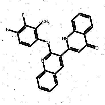 Cc1c(Oc2nc3ccccc3cc2-c2cc(=O)c3ccccc3[nH]2)ccc(F)c1F